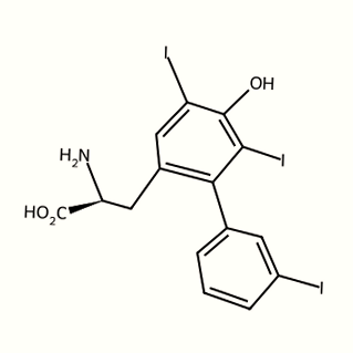 N[C@@H](Cc1cc(I)c(O)c(I)c1-c1cccc(I)c1)C(=O)O